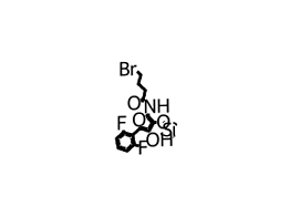 C[Si](C)(C)Oc1c(NC(=O)CCCBr)oc(-c2c(F)cccc2F)c1O